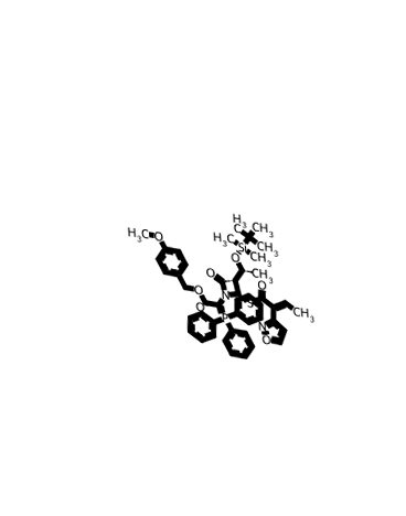 CC=C(C(=O)S[C@@H]1[C@@H]([C@@H](C)O[Si](C)(C)C(C)(C)C)C(=O)N1C(C(=O)OCc1ccc(OC)cc1)=P(c1ccccc1)(c1ccccc1)c1ccccc1)c1ccon1